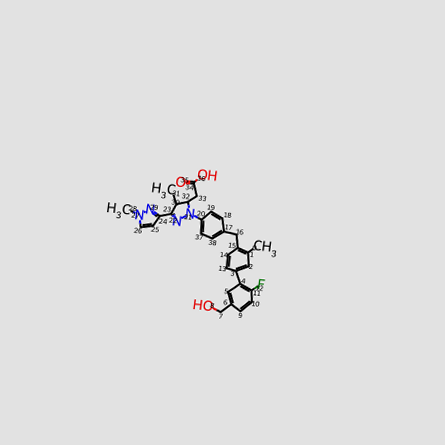 Cc1cc(-c2cc(CO)ccc2F)ccc1Cc1ccc(N2N=C(c3ccn(C)n3)C(C)C2CC(=O)O)cc1